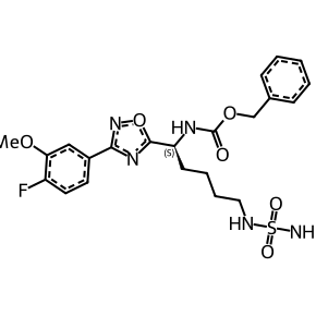 COc1cc(-c2noc([C@H](CCCCNS(N)(=O)=O)NC(=O)OCc3ccccc3)n2)ccc1F